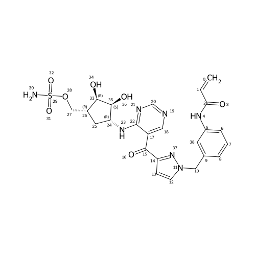 C=CC(=O)Nc1cccc(Cn2ccc(C(=O)c3cncnc3N[C@@H]3C[C@H](COS(N)(=O)=O)[C@@H](O)[C@H]3O)n2)c1